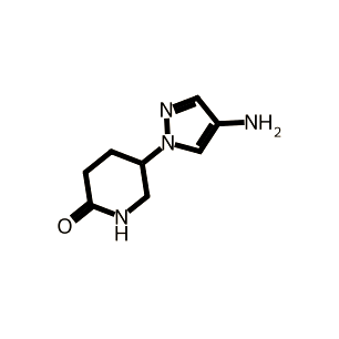 Nc1cnn(C2CCC(=O)NC2)c1